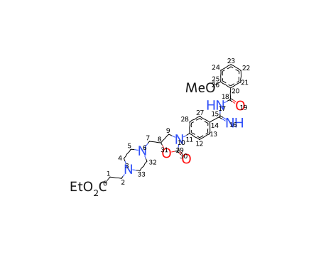 CCOC(=O)CCN1CCN(CC2CN(c3ccc(C(=N)NC(=O)c4ccccc4OC)cc3)C(=O)O2)CC1